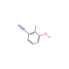 COc1cccc(C#N)c1C